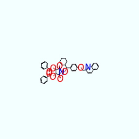 O=C(OC1C(=O)N(O[C@H](c2ccc(OCc3ccc4ccccc4n3)cc2)C2CCCCC2)C(=O)C1OC(=O)c1ccccc1)c1ccccc1